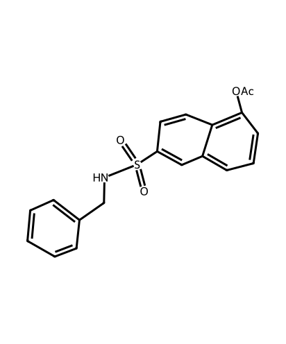 CC(=O)Oc1cccc2cc(S(=O)(=O)NCc3ccccc3)ccc12